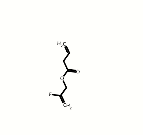 C=CCC(=O)OCC(=C)F